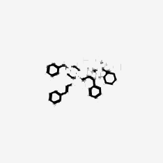 COC[C@]1(O)CCCC[C@H]1n1cnc(C(=O)N2CCN(Cc3ccccc3)C[C@H]2CC=Cc2ccccc2)c1-c1ccccc1